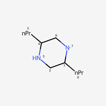 CCCC1CNC(CCC)C[N]1